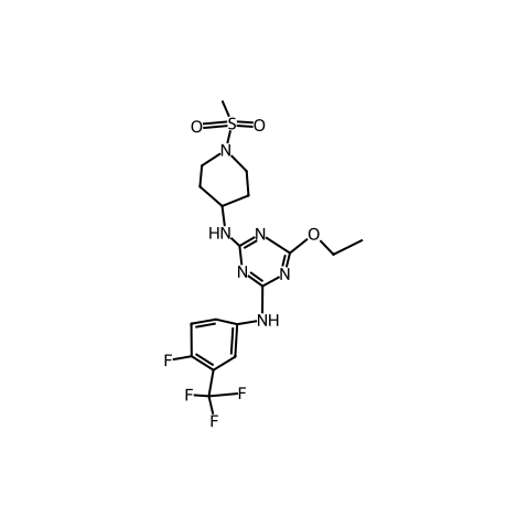 CCOc1nc(Nc2ccc(F)c(C(F)(F)F)c2)nc(NC2CCN(S(C)(=O)=O)CC2)n1